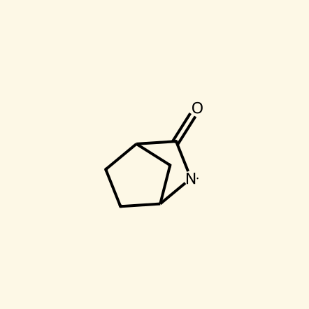 O=C1[N]C2CCC1C2